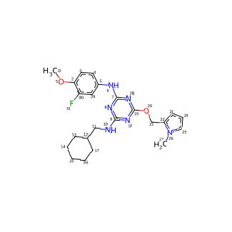 COc1ccc(Nc2nc(NCC3CCCCC3)nc(OCc3cccn3C)n2)cc1F